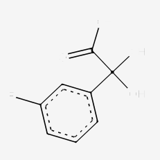 CC(=O)C(C)(O)c1cccc(F)c1